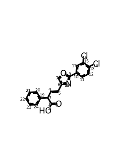 O=C(O)C(C=Cc1coc(-c2ccc(Cl)c(Cl)c2)n1)c1ccccc1